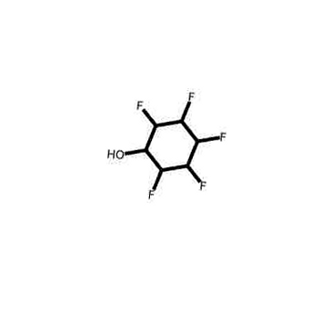 OC1C(F)C(F)C(F)C(F)C1F